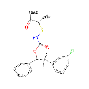 CCCC[C@H](SNC(=O)OC(c1ccccc1)C(C)(C)c1cccc(Cl)c1)C(=O)OC